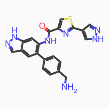 NCc1ccc(-c2cc3cn[nH]c3cc2NC(=O)c2csc(-c3cn[nH]c3)n2)cc1